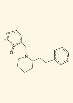 O=c1[nH]cccc1CN1CCCCC1CCc1ccccc1